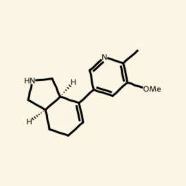 COc1cc(C2=CCC[C@H]3CNC[C@@H]23)cnc1C